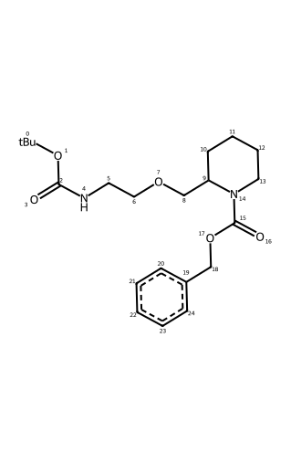 CC(C)(C)OC(=O)NCCOCC1CCCCN1C(=O)OCc1ccccc1